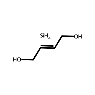 OCC=CCO.[SiH4]